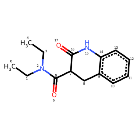 CCN(CC)C(=O)C1Cc2ccccc2NC1=O